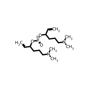 C=CC(CCCN(C)C)O[PH](=O)OC(C=C)CCCN(C)C